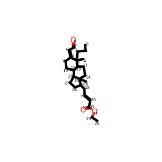 CCCC1(C)/C(=C\C=O)CCC2C1CCC1(C)C(C/C=C/C(=O)OCC)CCC21